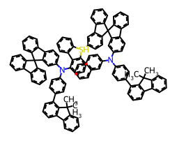 CC1(C)c2ccccc2-c2cccc(-c3ccc(N(c4ccc5c(c4)C4(c6ccccc6-c6cc([SH]7c8ccccc8-c8c(N(c9ccc(-c%10cccc%11c%10C(C)(C)c%10ccccc%10-%11)cc9)c9ccc%10c(c9)C9(c%11ccccc%11-c%11ccccc%119)c9ccccc9-%10)cccc87)ccc64)c4ccccc4-5)c4ccc5ccccc5c4)cc3)c21